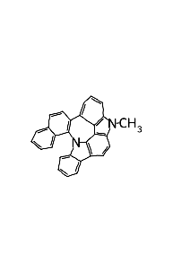 Cn1c2cccc3c4ccc5ccccc5c4n4c5ccccc5c5ccc1c(c32)c54